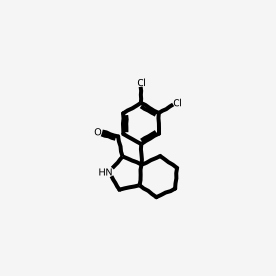 O=CC1NCC2CCCCC21c1ccc(Cl)c(Cl)c1